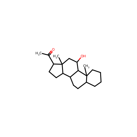 CC(=O)C1CCC2C3CCC4CCCCC4(C)C3C(O)CC12C